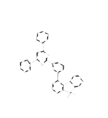 CC1(C)c2ccccc2-c2c(-c3cccc(-c4nc(-c5ccccc5)cc(-c5ccccc5)n4)c3)cccc21